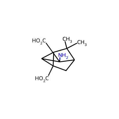 CC1(C)C2CC3(C(=O)O)C1C3C2(N)C(=O)O